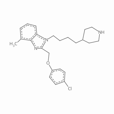 Cc1cccc2c1nc(COc1ccc(Cl)cc1)n2CCCCC1CCNCC1